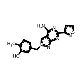 Cc1ccc(Cn2cc3c(N)nc(-c4ccsn4)nc3n2)cc1O